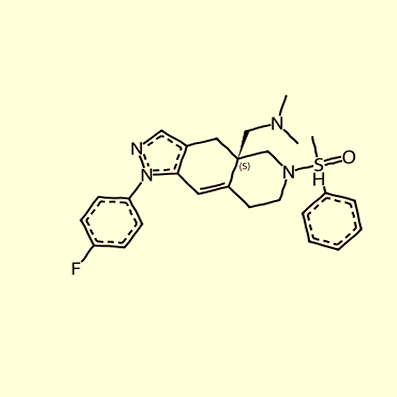 CN(C)C[C@]12Cc3cnn(-c4ccc(F)cc4)c3C=C1CCN([SH](C)(=O)c1ccccc1)C2